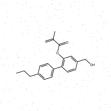 C=C(C)C(=O)Oc1cc(CO)ccc1-c1ccc(CCC)cc1